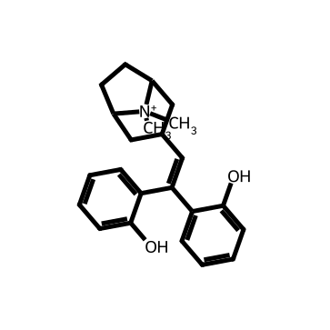 C[N+]1(C)C2CCC1CC(C=C(c1ccccc1O)c1ccccc1O)C2